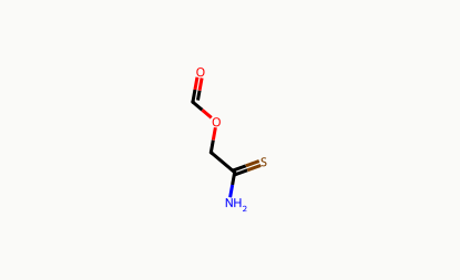 NC(=S)COC=O